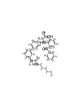 CCCCCCNC(=S)N(C)c1cccc(-c2ccc(CC(Nc3ccccc3C(=O)c3ccccc3)C(=O)O)cc2)c1